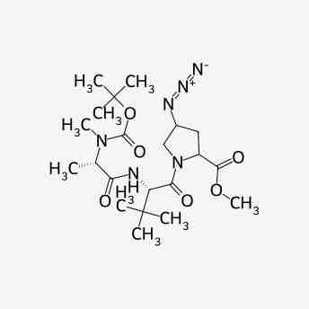 COC(=O)C1CC(N=[N+]=[N-])CN1C(=O)[C@@H](NC(=O)[C@H](C)N(C)C(=O)OC(C)(C)C)C(C)(C)C